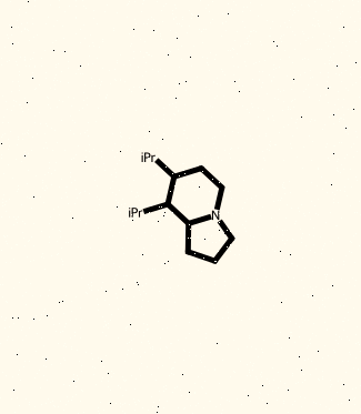 CC(C)C1CCN2CCCC2C1C(C)C